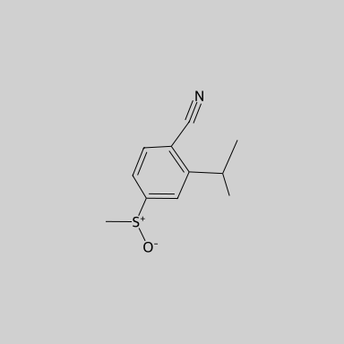 CC(C)c1cc([S+](C)[O-])ccc1C#N